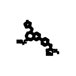 CCCCOC(C)Oc1ccc(-c2ccc3c(c2)C=C(C(=O)O)CCN3Cc2ccsc2)cc1